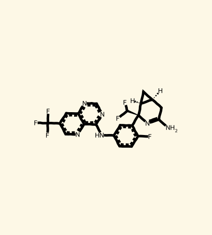 NC1=N[C@@](c2cc(Nc3ncnc4cc(C(F)(F)F)cnc34)ccc2F)(C(F)F)[C@H]2C[C@H]2C1